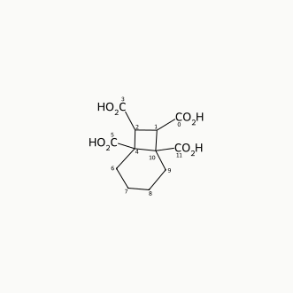 O=C(O)C1C(C(=O)O)C2(C(=O)O)CCCCC12C(=O)O